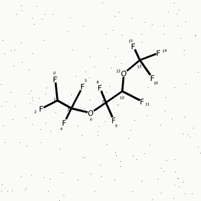 FC(F)C(F)(F)OC(F)(F)C(F)OC(F)(F)F